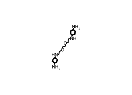 Nc1ccc(NCCOCCOCCNc2ccc(N)cc2)cc1